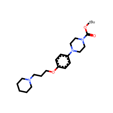 CC(C)(C)OC(=O)N1CCN(c2ccc(OCCCN3CCCCC3)cc2)CC1